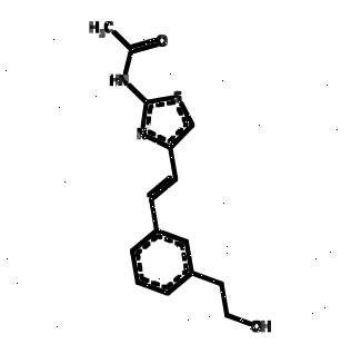 CC(=O)Nc1nc(C=Cc2cccc(CCO)c2)cs1